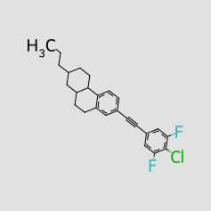 CCCC1CCC2c3ccc(C#Cc4cc(F)c(Cl)c(F)c4)cc3CCC2C1